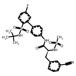 CC(C)(C)NS(=O)(=O)c1ccc(F)cc1-c1ccc(NC(=O)[C@H](Cc2cccc(C#N)c2)NS(C)(=O)=O)cc1